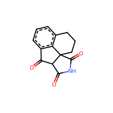 O=C1NC(=O)C23CCCc4cccc(c42)C(=O)C13